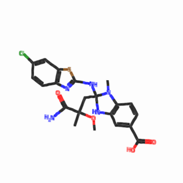 COC(C)(CC1(Nc2nc3ccc(Cl)cc3s2)Nc2cc(C(=O)O)ccc2N1C)C(N)=O